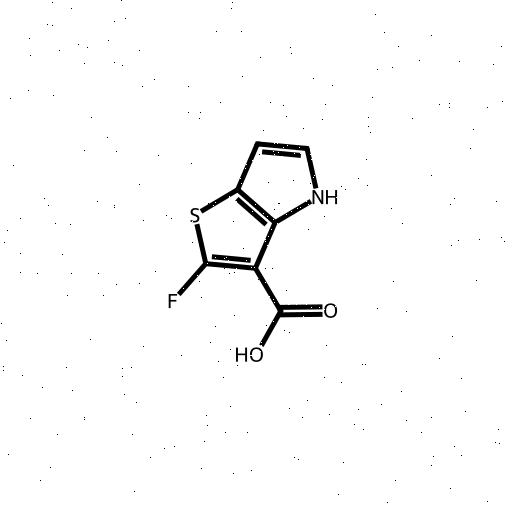 O=C(O)c1c(F)sc2cc[nH]c12